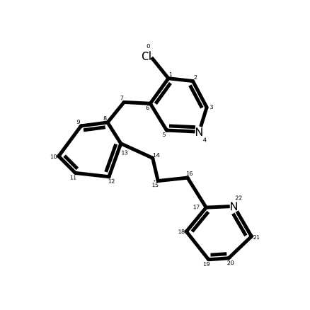 Clc1ccncc1Cc1ccccc1C[CH]Cc1ccccn1